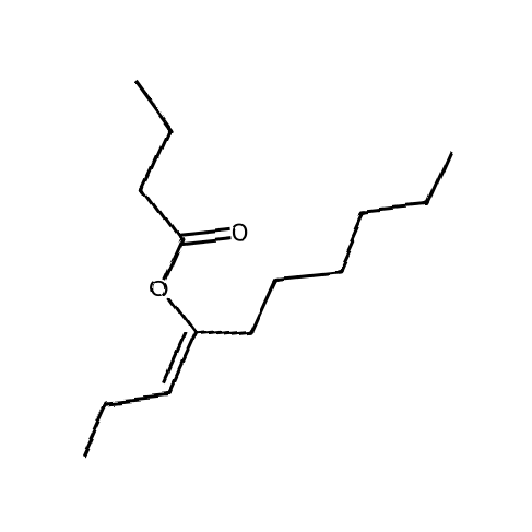 CCC=C(CCCCCC)OC(=O)CCC